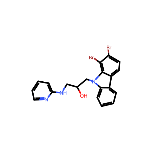 OC(CNc1ccccn1)Cn1c2ccccc2c2ccc(Br)c(Br)c21